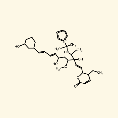 CCC1C=CC(=O)OC1C=CC(O)(C(C)NC(C)(C)[n+]1ccccc1)C(CC(O)C=CC=CC1CCCC(O)C1)OP